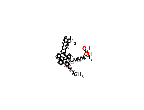 CCCCCCCCCc1ccccc1CC(=C(c1ccccc1CCCCCCCCC)c1ccccc1CCCCCCCCC)c1ccccc1CCCCCCCCC.OCCO